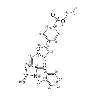 CCCOC(=O)c1ccc(-c2ccc(/C=C3/SC(=S)N(Cc4ccccc4)C3=O)o2)cc1